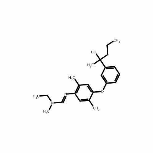 CCCC(C)(O)c1cccc(Oc2cc(C)c(/N=C/N(C)CC)cc2C)c1